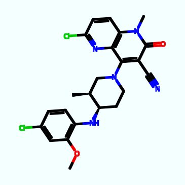 COc1cc(Cl)ccc1N[C@@H]1CCN(c2c(C#N)c(=O)n(C)c3ccc(Cl)nc23)C[C@@H]1C